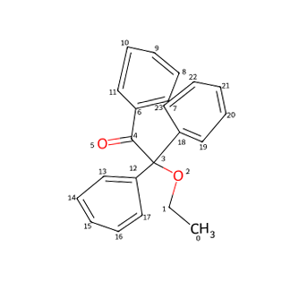 CCOC(C(=O)c1ccccc1)(c1ccccc1)c1ccccc1